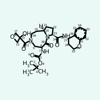 CC(C)(C)OC(=O)N[C@H]1CN(C(=O)C2(O)COC2)CC[C@H]2CC[C@@H](C(=O)N[C@@H]3CCOc4ccccc43)N2C1=O